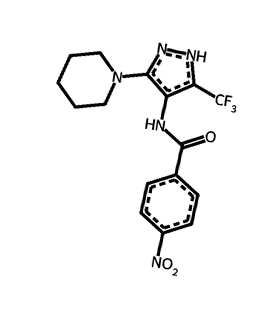 O=C(Nc1c(N2CCCCC2)n[nH]c1C(F)(F)F)c1ccc([N+](=O)[O-])cc1